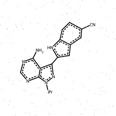 CC(C)n1nc(-c2cc3cc(C#N)ccc3[nH]2)c2c(N)ncnc21